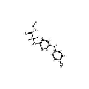 CCOC(=O)C(C)(C)Oc1ccc(Cc2ccc(Cl)cc2)cc1